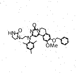 COc1cc2c(cc1OCc1ccccc1)CCn1c-2cc(N(CCN2CCNC2=O)c2c(C)cc(C)cc2C)nc1=O